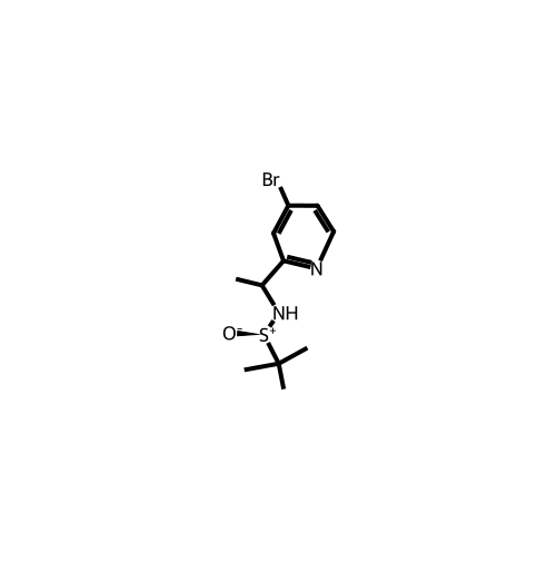 CC(N[S@+]([O-])C(C)(C)C)c1cc(Br)ccn1